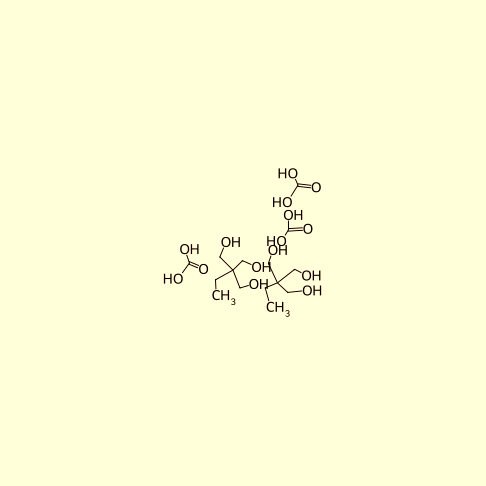 CCC(CO)(CO)CO.CCC(CO)(CO)CO.O=C(O)O.O=C(O)O.O=C(O)O